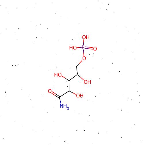 NC(=O)C(O)C(O)C(O)COP(=O)(O)O